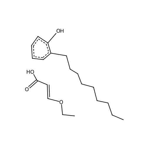 CCCCCCCCCc1ccccc1O.CCOC=CC(=O)O